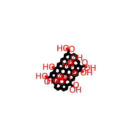 O=C(O)C1=CC2=Cc3cc4c5c6c3C37O[C@]23C2=C1C=CC1=Cc3c(C(=O)O)c(O)c8c9c3[C@](O)(C7=C3C6=C6C7=C%10C(=CC(=C8)[C@@]78OC398)C(C(=O)O)=c3ccc7c8c3[C@]%103OC39[C@]63OC53c3c5c(c(C(=O)O)cc3=C4O)=CC(=CC=7)C8(O)[C@]59O)[C@]12O